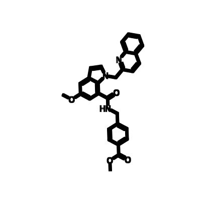 COC(=O)c1ccc(CNC(=O)c2cc(OC)cc3ccn(Cc4ccc5ccccc5n4)c23)cc1